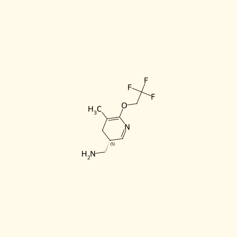 CC1=C(OCC(F)(F)F)N=C[C@H](CN)C1